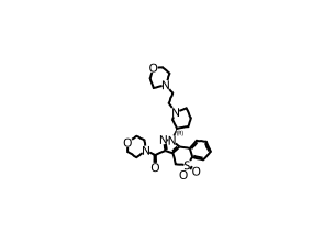 O=C(c1nn([C@@H]2CCCN(CCN3CCOCC3)C2)c2c1CS(=O)(=O)c1ccccc1-2)N1CCOCC1